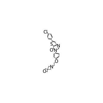 O=c1c2sc(-c3ccc(Cl)cc3)cc2ncn1-c1ccc(OCCN2CC3(COC3)C2)cc1